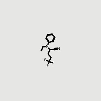 CCN(c1ccccc1)C(C#N)CCC(F)(F)F